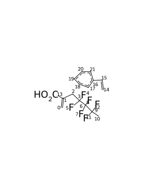 C=C(CC(F)(F)C(F)(F)C(C)(F)F)C(=O)O.C=Cc1ccccc1